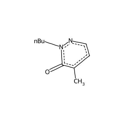 CCCCn1nccc(C)c1=O